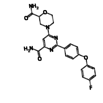 NC(=O)c1cc(N2CCOC(C(N)=O)C2)nc(-c2ccc(Oc3ccc(F)cc3)cc2)n1